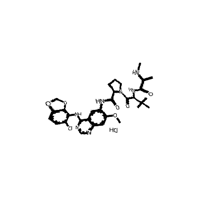 CNC(C)C(=O)NC(C(=O)N1CCCC1C(=O)Nc1cc2c(Nc3c(Cl)ccc4c3OCO4)ncnc2cc1OC)C(C)(C)C.Cl